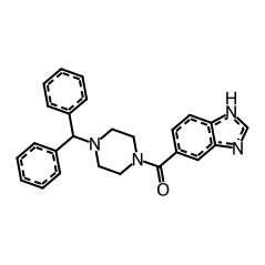 O=C(c1ccc2[nH]cnc2c1)N1CCN(C(c2ccccc2)c2ccccc2)CC1